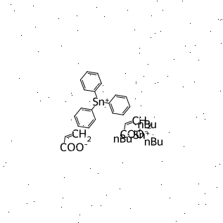 C=CC(=O)[O-].C=CC(=O)[O-].CCC[CH2][Sn+]([CH2]CCC)[CH2]CCC.c1cc[c]([Sn+]([c]2ccccc2)[c]2ccccc2)cc1